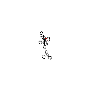 CC1(C)c2ccccc2N(c2ccccc2-c2nc(-c3ccccc3)nc(-c3ccccc3)n2)c2ccc(-c3ccc4c(c3)c3ccccc3n4-c3ccccc3)cc21